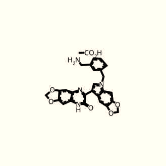 CC(=O)O.NCc1cccc(Cn2cc(-c3nc4cc5c(cc4[nH]c3=O)OCO5)c3cc4c(cc32)OCO4)c1